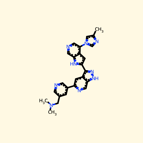 Cc1cn(-c2cncc3[nH]c(-c4n[nH]c5cnc(-c6cncc(CN(C)C)c6)cc45)cc23)cn1